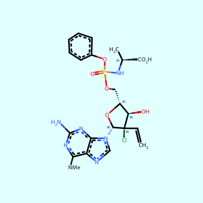 C=C[C@@]1(Cl)[C@H](O)[C@@H](COP(=O)(N[C@@H](C)C(=O)O)Oc2ccccc2)O[C@H]1n1cnc2c(NC)nc(N)nc21